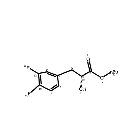 CCCCOC(=O)[C@H](O)Cc1ccc(F)c(F)c1